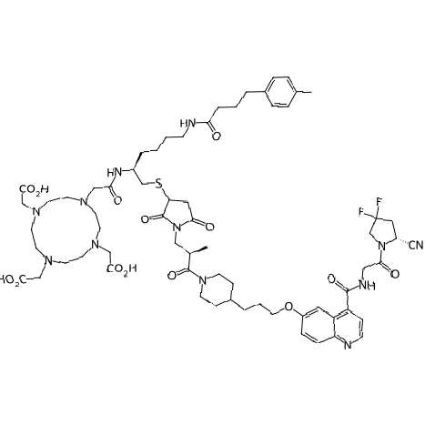 Cc1ccc(CCCC(=O)NCCCC[C@@H](CSC2CC(=O)N(C[C@@H](C)C(=O)N3CCC(CCCOc4ccc5nccc(C(=O)NCC(=O)N6CC(F)(F)C[C@@H]6C#N)c5c4)CC3)C2=O)NC(=O)CN2CCN(CC(=O)O)CCN(CC(=O)O)CCN(CC(=O)O)CC2)cc1